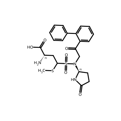 CSC(C[C@H](N)C(=O)O)S(=O)(=O)N(CC(=O)c1ccccc1-c1ccccc1)[C@H]1CCC(=O)N1